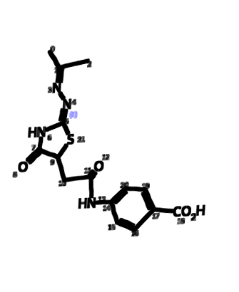 CC(C)=N/N=C1\NC(=O)C(CC(=O)Nc2ccc(C(=O)O)cc2)S1